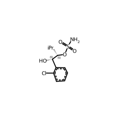 CC(C)[C@H](OS(N)(=O)=O)[C@@H](O)c1ccccc1Cl